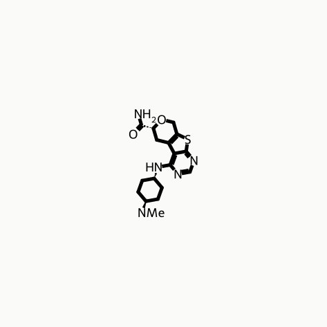 CN[C@H]1CC[C@H](Nc2ncnc3sc4c(c23)C[C@H](C(N)=O)OC4)CC1